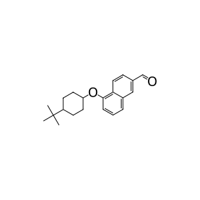 CC(C)(C)C1CCC(Oc2cccc3cc(C=O)ccc23)CC1